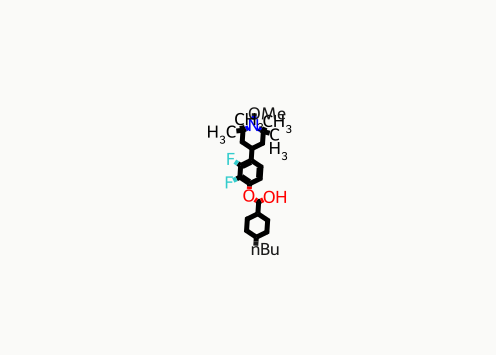 CCCCC1CCC(C(O)Oc2ccc(C3CC(C)(C)N(OC)C(C)(C)C3)c(F)c2F)CC1